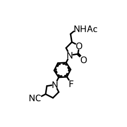 CC(=O)NCC1CN(c2ccc(N3CCC(C#N)C3)c(F)c2)C(=O)O1